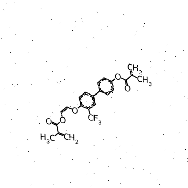 C=C(C)C(=O)O/C=C\Oc1ccc(-c2ccc(OC(=O)C(=C)C)cc2)cc1C(F)(F)F